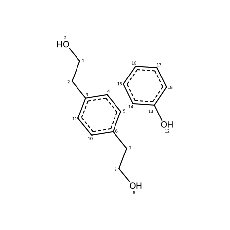 OCCc1ccc(CCO)cc1.Oc1ccccc1